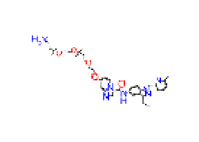 CCc1nn(Cc2cccc(C)n2)c2ccc(NC(=O)c3cnc4cc(OCCOCCC(C)(C)OCCOC(C)(C)CCN)ccn34)cc12